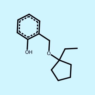 CCC1(OCc2ccccc2O)CCCC1